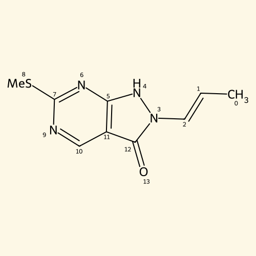 CC=Cn1[nH]c2nc(SC)ncc2c1=O